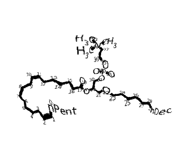 CCCCC/C=C\C/C=C\C/C=C\C/C=C\CCCCCC(=O)O[C@H](COCCCCCCCCCCCCCCCC)COP(=O)([O-])OCC[N+](C)(C)C